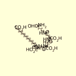 N[C@H](C=O)CCCCNC(=O)CC[C@H](NC(=O)CC[C@H](NC(=O)CC[C@H](NC(=O)CCCCCCCCCCCCCCC(=O)O)C(=O)O)C(=O)O)C(=O)O